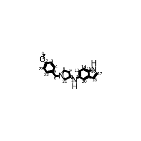 COc1ccc(CN2CC[C@@H](Nc3ccc4[nH]ccc4c3)C2)cc1